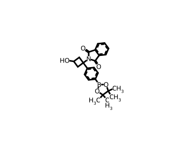 CC1(C)OB(c2ccc(C3(N4C(=O)c5ccccc5C4=O)CC(O)C3)cc2)OC1(C)C